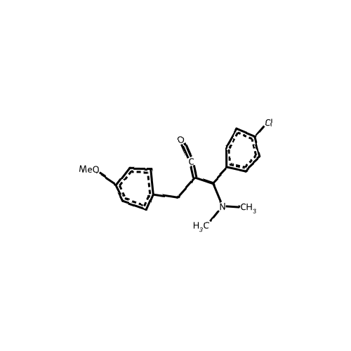 COc1ccc(CC(=C=O)C(c2ccc(Cl)cc2)N(C)C)cc1